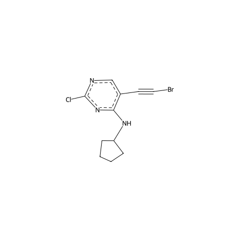 Clc1ncc(C#CBr)c(NC2CCCC2)n1